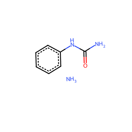 N.NC(=O)Nc1ccccc1